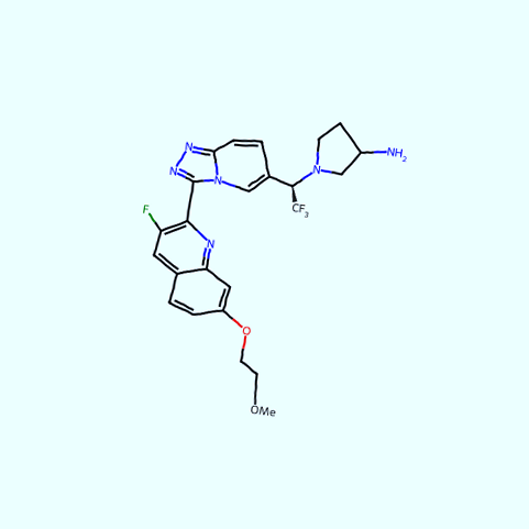 COCCOc1ccc2cc(F)c(-c3nnc4ccc([C@@H](N5CCC(N)C5)C(F)(F)F)cn34)nc2c1